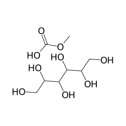 COC(=O)O.OCC(O)C(O)C(O)C(O)CO